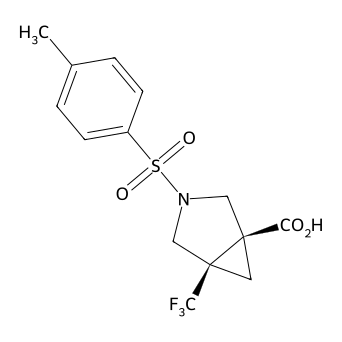 Cc1ccc(S(=O)(=O)N2C[C@]3(C(=O)O)C[C@]3(C(F)(F)F)C2)cc1